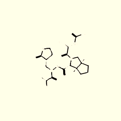 CC[C@H](C)[C@H](NC(=O)C(C)(C)C)C(=O)N1C[C@@H]2CCC[C@@H]2[C@H]1C(=O)NN(C[C@@H]1CCNC1=O)C(=O)[C@H](F)Cl